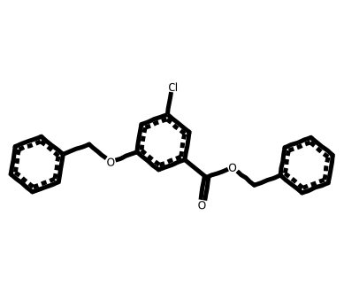 O=C(OCc1ccccc1)c1cc(Cl)cc(OCc2ccccc2)c1